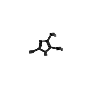 O=[N+]([O-])c1nc(O)[nH]c1[N+](=O)[O-]